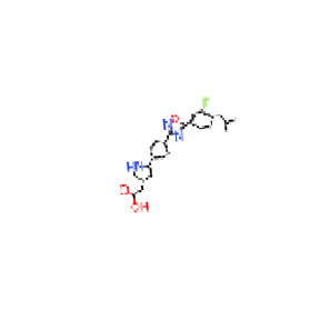 CC(C)Cc1ccc(-c2nc(-c3ccc(C4CC(CC(=O)O)CN4)cc3)no2)cc1F